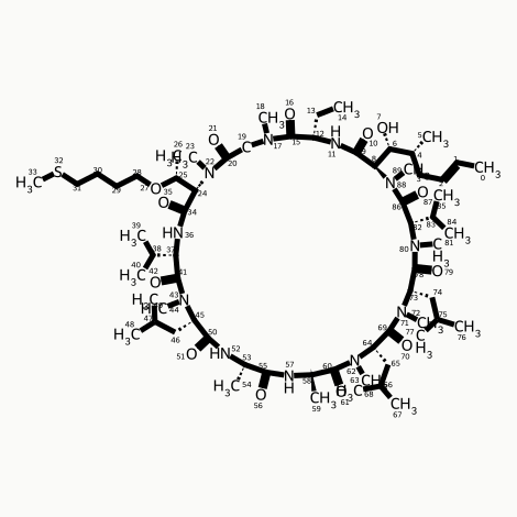 C/C=C/C[C@@H](C)[C@@H](O)[C@@H]1C(=O)N[C@@H](CC)C(=O)N(C)CC(=O)N(C)[C@@H]([C@@H](C)OCCCCSC)C(=O)N[C@@H](C(C)C)C(=O)N(C)[C@@H](CC(C)C)C(=O)N[C@@H](C)C(=O)N[C@H](C)C(=O)N(C)[C@@H](CC(C)C)C(=O)N(C)[C@@H](CC(C)C)C(=O)N(C)[C@@H](C(C)C)C(=O)N1C